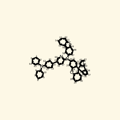 c1ccc(N(c2ccccc2)c2ccc(-c3ccc(N(c4ccc5c(c4)Oc4ccccc4C54c5ccccc5-c5ccccc54)c4ccc5sc6ccccc6c5c4)nc3)cc2)cc1